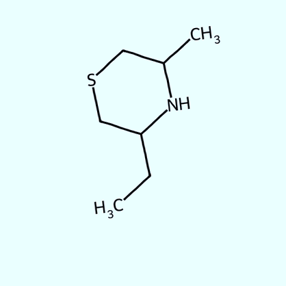 CCC1CSCC(C)N1